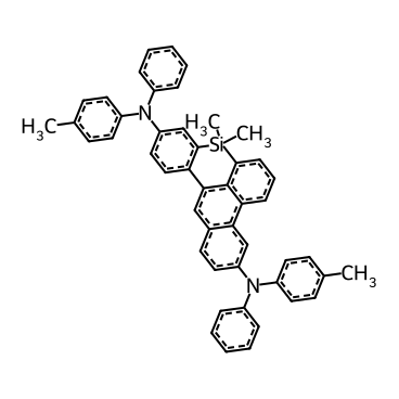 Cc1ccc(N(c2ccccc2)c2ccc3c(c2)[Si](C)(C)c2cccc4c2c-3cc2ccc(N(c3ccccc3)c3ccc(C)cc3)cc24)cc1